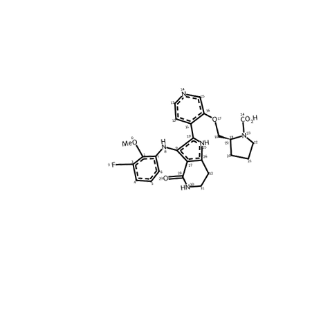 COc1c(F)cccc1Nc1c(-c2ccncc2OC[C@@H]2CCCN2C(=O)O)[nH]c2c1C(=O)NCC2